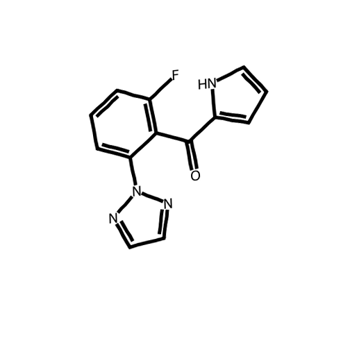 O=C(c1ccc[nH]1)c1c(F)cccc1-n1nccn1